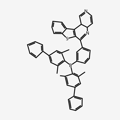 Cc1cc(-c2ccccc2)cc(C)c1B(c1cccc(C2=NC3C=CN=CC3c3c2sc2ccccc32)c1)c1c(C)cc(-c2ccccc2)cc1C